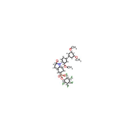 COc1cc(OC)cc(-c2ccc(-n3c(=O)ccc4cc(S(=O)(=O)Oc5c(F)c(F)c(F)c(F)c5F)ccc43)c(OC)c2)c1